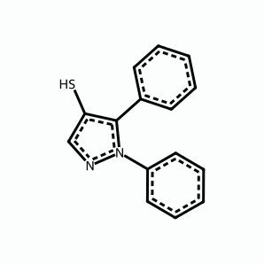 Sc1cnn(-c2ccccc2)c1-c1ccccc1